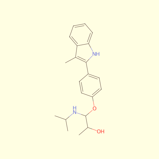 Cc1c(-c2ccc(OC(NC(C)C)C(C)O)cc2)[nH]c2ccccc12